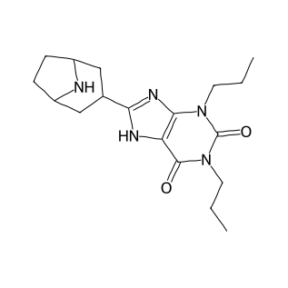 CCCn1c(=O)c2[nH]c(C3CC4CCC(C3)N4)nc2n(CCC)c1=O